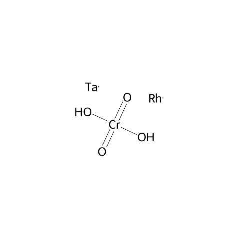 [O]=[Cr](=[O])([OH])[OH].[Rh].[Ta]